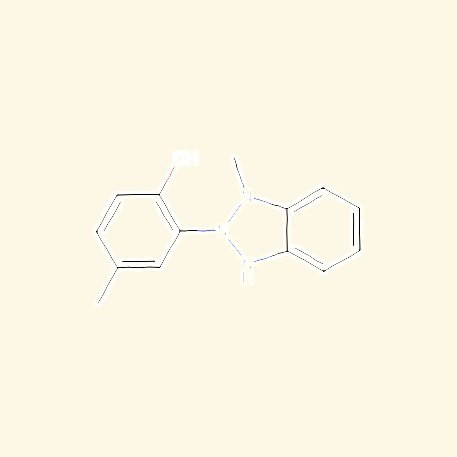 Cc1ccc(O)c(N2Nc3ccccc3N2C)c1